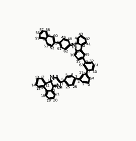 c1cc(-c2ccc(-c3cnc4c5ccccc5c5ccccc5c4n3)cc2)cc(-c2cccc(-c3ccc4c(c3)c3ccccc3n4-c3ccc(-c4ccc5ccccc5c4)cc3)c2)c1